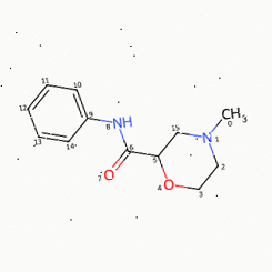 CN1CCOC(C(=O)Nc2ccccc2)C1